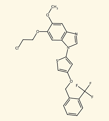 COc1cc2ncn(-c3cc(OCc4ccccc4C(F)(F)F)cs3)c2cc1OCCCl